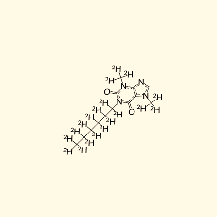 [2H]C([2H])([2H])n1cnc2c1c(=O)n(C([2H])([2H])C([2H])([2H])C([2H])([2H])C([2H])([2H])C([2H])([2H])C([2H])([2H])[2H])c(=O)n2C([2H])([2H])[2H]